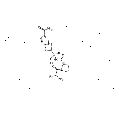 CC(C)C(N)C(=O)N1CCC[C@H]1C(=O)N[C@@](CO)(c1nc2cc(C(N)=O)ccc2o1)C(C)C